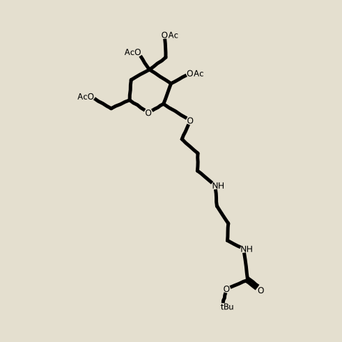 CC(=O)OCC1CC(COC(C)=O)(OC(C)=O)C(OC(C)=O)C(OCCCNCCCNC(=O)OC(C)(C)C)O1